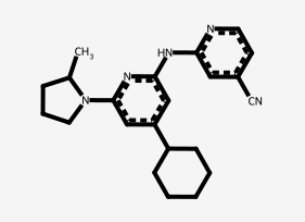 CC1CCCN1c1cc(C2CCCCC2)cc(Nc2cc(C#N)ccn2)n1